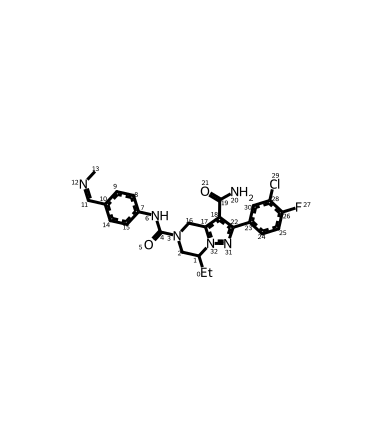 CCC1CN(C(=O)Nc2ccc(/C=N\C)cc2)Cc2c(C(N)=O)c(-c3ccc(F)c(Cl)c3)nn21